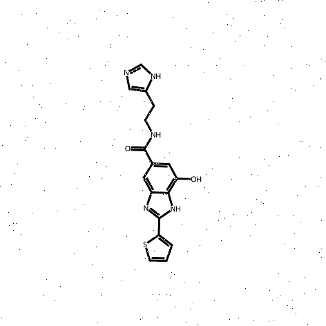 O=C(NCCc1cnc[nH]1)c1cc(O)c2[nH]c(-c3cccs3)nc2c1